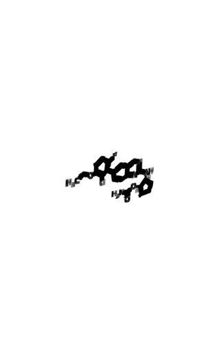 CCOc1ccc(F)c(-c2ccc3nc(N[C@@H]4CCC[C@@H]4OC(N)=O)ncc3c2)c1Cl